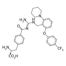 N/C(=N\C(=O)c1ccc(C[C@H](N)C(=O)O)cc1)NCc1c(Oc2ccc(C(F)(F)F)cc2)cccc1N1CCCCC1